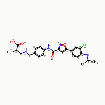 CC(C)Nc1ccc(-c2cc(C(=O)Nc3ccc(CNCC(C)C(=O)O)cc3)no2)cc1Cl